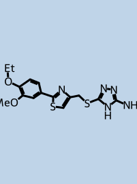 CCOc1ccc(-c2nc(CSc3nnc(N)[nH]3)cs2)cc1OC